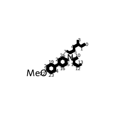 C=C/C(C)=C\C=C(/C)N(C(=C)/C=C\C)c1ccc(-c2ccc(OC)cc2)cc1